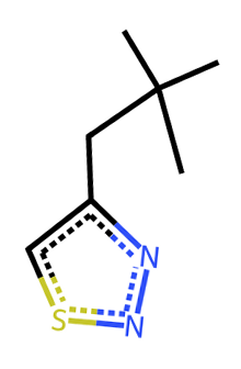 CC(C)(C)Cc1csnn1